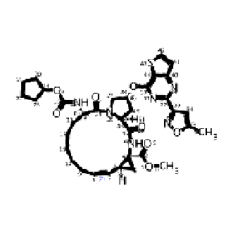 COC(=O)[C@@]12C[C@H]1/C=C\CCCCC[C@H](NC(=O)OC1CCCC1)C(=O)N1C[C@H](Oc3nc(-c4cc(C)on4)nc4ccsc34)C[C@H]1C(=O)N2